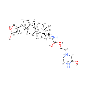 C[C@]12CC[C@H](NC(=O)OCCN3CCNC(=O)C3)C[C@H]1CC[C@H]1C3=CC[C@H](C4=CC(=O)OC4)[C@@]3(C)CC[C@@H]12